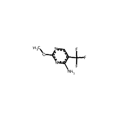 COc1ncc(C(F)(F)F)c(N)n1